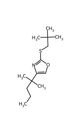 CCCC(C)(C)c1coc(SCC(C)(C)C)n1